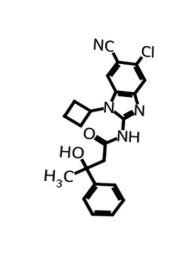 CC(O)(CC(=O)Nc1nc2cc(Cl)c(C#N)cc2n1C1CCC1)c1ccccc1